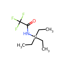 CC[Si](CC)(CC)NC(=O)C(F)(F)F